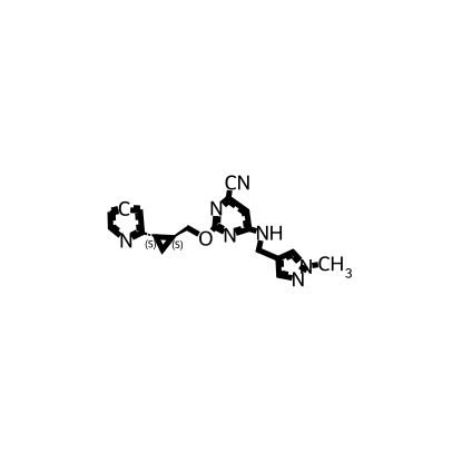 Cn1cc(CNc2cc(C#N)nc(OC[C@H]3C[C@@H]3c3ccccn3)n2)cn1